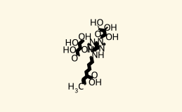 C/C=C/C(CCCCCNc1ncnc2c1ncn2[C@@H]1O[C@H](CO)[C@@H](O)[C@H]1O)C(=O)O.O=C[C@H](O)[C@H](O)[C@H](O)CO